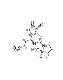 CC1(C)CCCN1c1cc2c(c(CCS(=O)(=O)O)n1)CNC2=O